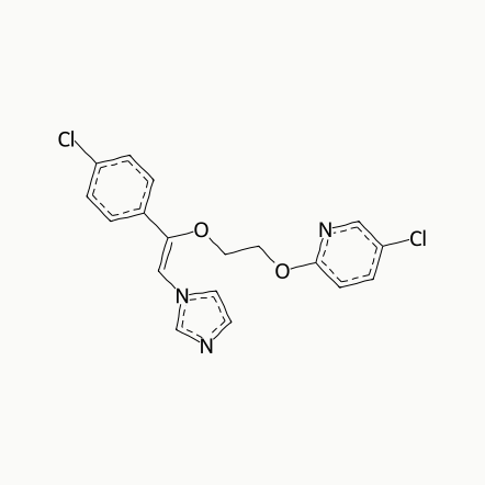 Clc1ccc(C(=Cn2ccnc2)OCCOc2ccc(Cl)cn2)cc1